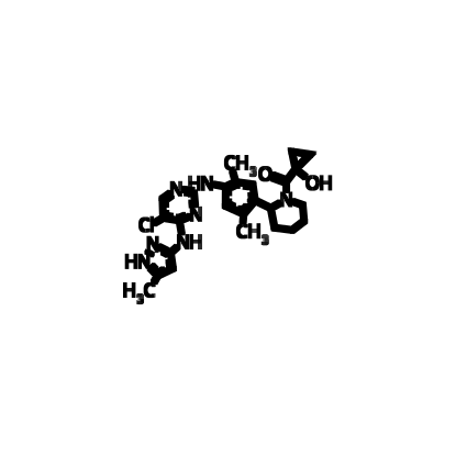 Cc1cc(Nc2nc(Nc3cc(C)c(C4CCCCN4C(=O)C4(O)CC4)cc3C)ncc2Cl)n[nH]1